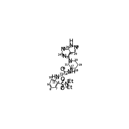 CCN(CC)S(=O)(=O)c1ccccc1NCC(=O)N[C@@H]1CCCN(c2ncnc3[nH]ncc23)C1